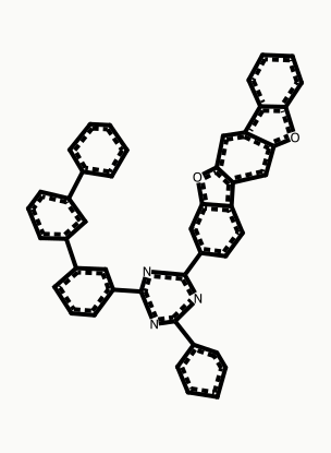 c1ccc(-c2cccc(-c3cccc(-c4nc(-c5ccccc5)nc(-c5ccc6c(c5)oc5cc7c(cc56)oc5ccccc57)n4)c3)c2)cc1